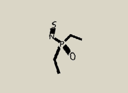 CCP(=O)(CC)N=S